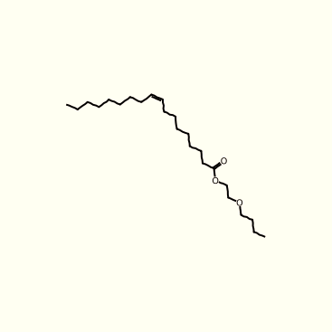 CCCCCCCC/C=C\CCCCCCCC(=O)OCCOCCCC